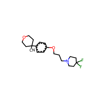 N#CC1(c2ccc(OCCCN3CCC(F)(F)CC3)cc2)CCOCC1